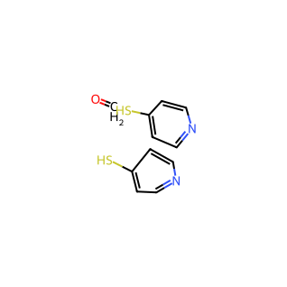 C=O.Sc1ccncc1.Sc1ccncc1